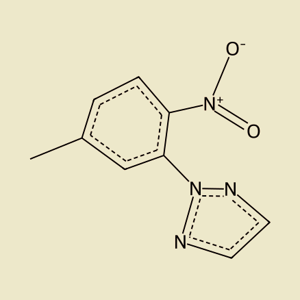 Cc1ccc([N+](=O)[O-])c(-n2nccn2)c1